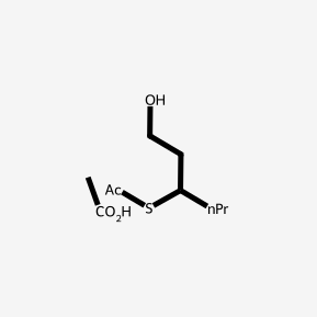 CC(=O)O.CCCC(CCO)SC(C)=O